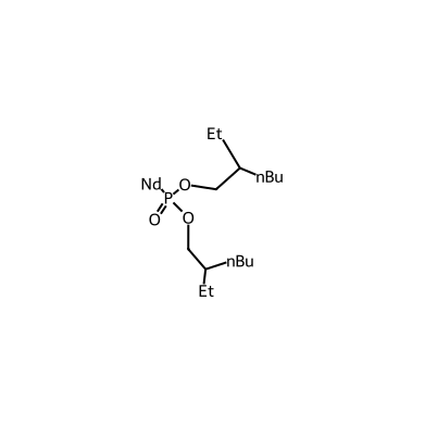 CCCCC(CC)CO[P](=O)([Nd])OCC(CC)CCCC